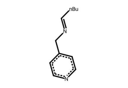 [CH2]CCCC=NCc1ccncc1